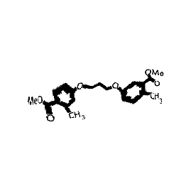 COC(=O)c1ccc(OCCCOc2ccc(C)c(C(=O)OC)c2)cc1C